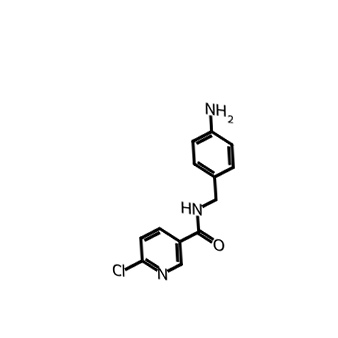 Nc1ccc(CNC(=O)c2ccc(Cl)nc2)cc1